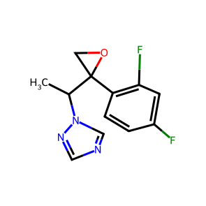 CC(n1cncn1)C1(c2ccc(F)cc2F)CO1